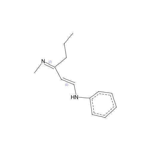 CCCC(/C=C/Nc1ccccc1)=N/C